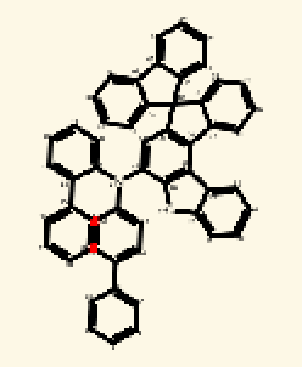 c1ccc(-c2ccc(N(c3ccccc3-c3ccccc3)c3cc4c(c5c3oc3ccccc35)-c3ccccc3C43c4ccccc4-c4ccccc43)cc2)cc1